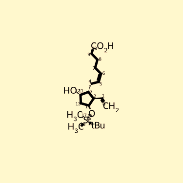 C=C[C@@H]1[C@@H](C/C=C\CCCC(=O)O)[C@@H](O)C[C@H]1O[Si](C)(C)C(C)(C)C